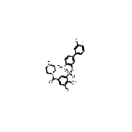 COc1ccc(-c2cccc(C)c2)cc1NS(=O)(=O)c1cc(C(=O)N2CCNCC2)cc(Cl)c1O